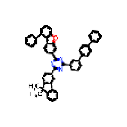 CC1(C)c2ccccc2-c2cc(-c3nc(-c4cccc(-c5ccc(-c6ccccc6)cc5)c4)nc(-c4ccc5c(c4)oc4cccc(-c6ccccc6)c45)n3)ccc21